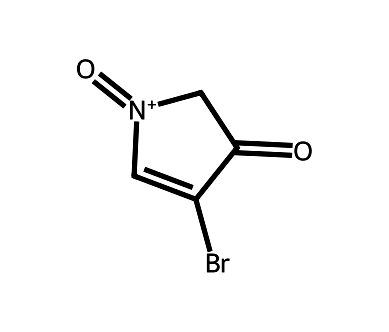 O=C1C[N+](=O)C=C1Br